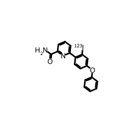 NC(=O)c1cccc(-c2ccc(Oc3ccccc3)cc2[123I])n1